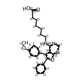 COc1ccc(-c2c(-c3ccccc3)oc3ncnc(NCCCCCCC(=O)O)c23)cc1